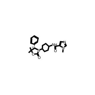 Cn1cncc1C(=O)NC1CCC(N2C(=O)OC(C)(C)[C@@H]2c2ccccc2)CC1